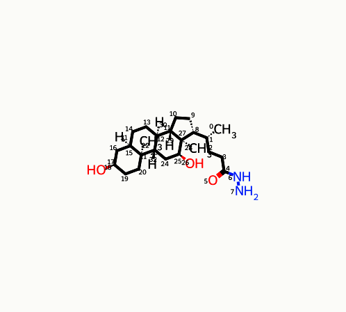 C[C@H](CCC(=O)NN)[C@H]1CC[C@H]2[C@@H]3CC[C@@H]4C[C@H](O)CC[C@]4(C)[C@H]3C[C@H](O)[C@]12C